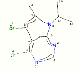 Cc1c(Br)c2c(Cl)ncnc2n1C(C)C